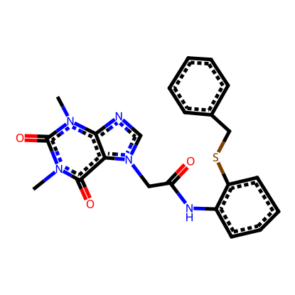 Cn1c(=O)c2c(ncn2CC(=O)Nc2ccccc2SCc2ccccc2)n(C)c1=O